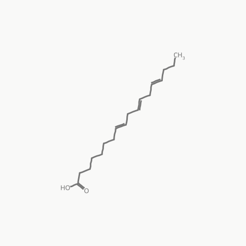 CCCC=CCC=CCC=CCCCCCCC(=O)O